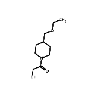 CCOCC1CCN(C(=O)CO)CC1